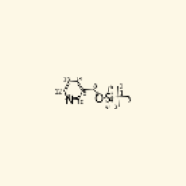 CC(C)(C)[Si](C)(C)OCc1[c]nccc1